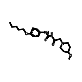 CCCCCOc1ccc(NC(=S)NC(=O)CN2CCC(OC)CC2)cc1